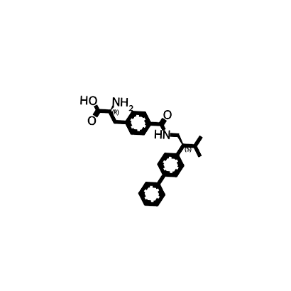 CC(C)[C@H](CNC(=O)c1ccc(C[C@@H](N)C(=O)O)cc1)c1ccc(-c2ccccc2)cc1